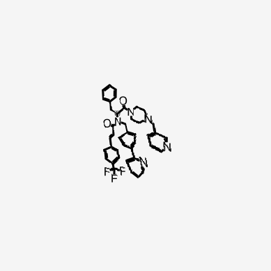 O=C([C@H](Cc1ccccc1)N(Cc1ccc(-c2ccccn2)cc1)C(=O)C=Cc1ccc(C(F)(F)F)cc1)N1CCN(Cc2cccnc2)CC1